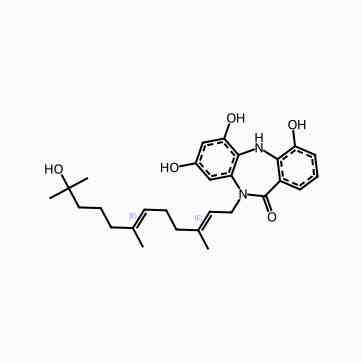 C/C(=C\CN1C(=O)c2cccc(O)c2Nc2c(O)cc(O)cc21)CC/C=C(\C)CCCC(C)(C)O